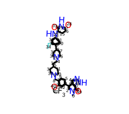 Cn1cc(-c2ccc(CN3CCC(CCN4CCC(c5ccc(NC6CCC(=O)NC6=O)cc5F)CC4)CC3)c(OC(F)(F)F)c2)c2cn[nH]c2c1=O